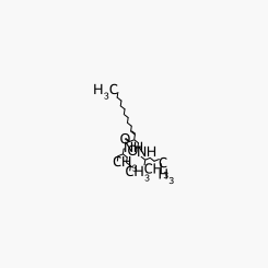 CCCCCCCCCCC=CC(CC(=O)NCC(CC)CCCC)C(=O)NCC(CC)CCCC